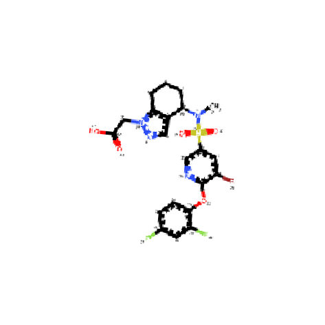 CN([C@@H]1CCCc2c1cnn2CC(=O)O)S(=O)(=O)c1cnc(Oc2ccc(F)cc2F)c(Br)c1